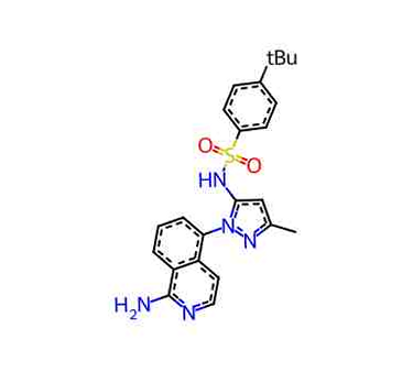 Cc1cc(NS(=O)(=O)c2ccc(C(C)(C)C)cc2)n(-c2cccc3c(N)nccc23)n1